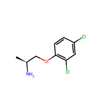 C[C@H](N)COc1ccc(Cl)cc1Cl